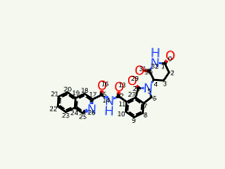 O=C1CCC(N2Cc3cccc(C(=O)NC(=O)c4cc5ccccc5cn4)c3C2=O)C(=O)N1